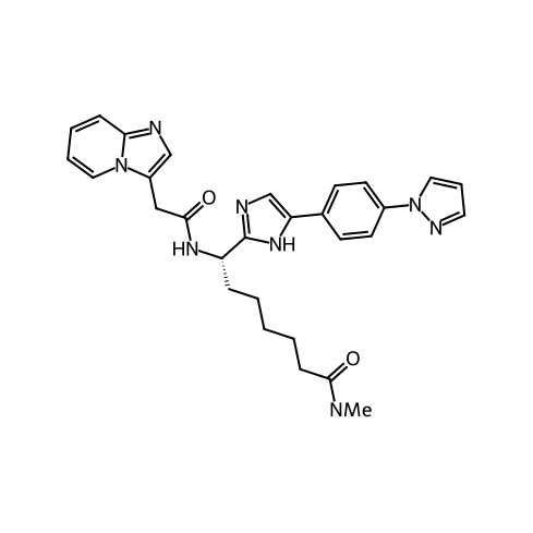 CNC(=O)CCCCC[C@H](NC(=O)Cc1cnc2ccccn12)c1ncc(-c2ccc(-n3cccn3)cc2)[nH]1